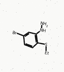 CCSc1ccc(Br)cc1NN